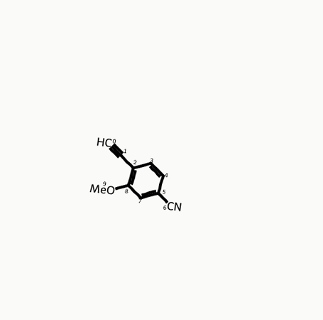 C#Cc1ccc(C#N)cc1OC